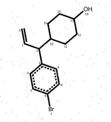 C=CC(c1ccc(Br)cc1)C1CCC(O)CC1